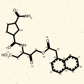 NC(=O)C1CCC(C(=O)NC(CC(=O)O)C(=O)COC(=O)Cc2cccc3ccccc23)C1